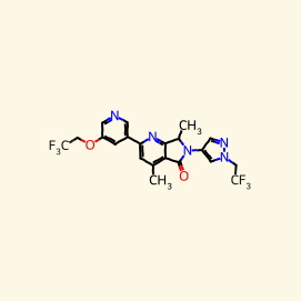 Cc1cc(-c2cncc(OCC(F)(F)F)c2)nc2c1C(=O)N(c1cnn(CC(F)(F)F)c1)C2C